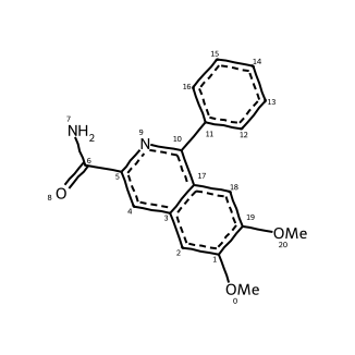 COc1cc2cc(C(N)=O)nc(-c3ccccc3)c2cc1OC